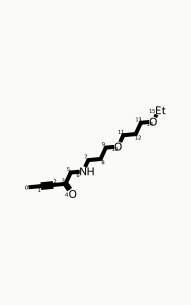 CC#CC(=O)CNCCCOCCCOCC